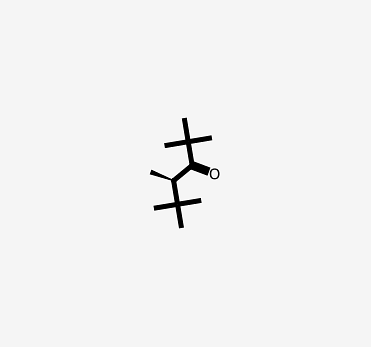 C[C@@H](C(=O)C(C)(C)C)C(C)(C)C